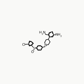 NCc1ccc(N)cc1C1CCN(Cc2ccc([S+]([O-])c3cccc(Cl)c3)cc2)CC1